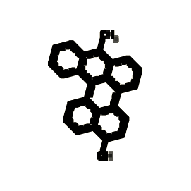 Cc1c2ccccc2c2c3cccc4c(O)ccc(c5cccc1c52)c43